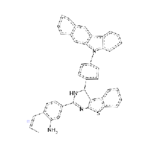 C/C=C\c1ccc(C2=Nc3sc4ccccc4c3C(c3ccc(-n4c5ccccc5c5cc6ccccc6cc54)cc3)N2)cc1N